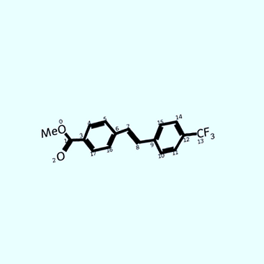 COC(=O)c1ccc(C=Cc2ccc(C(F)(F)F)cc2)cc1